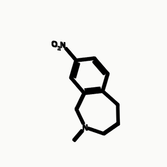 CN1CCCc2ccc([N+](=O)[O-])cc2C1